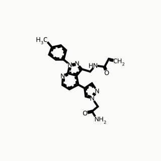 C=CC(=O)NCc1nn(-c2ccc(C)cc2)c2nccc(-c3cnn(CC(N)=O)c3)c12